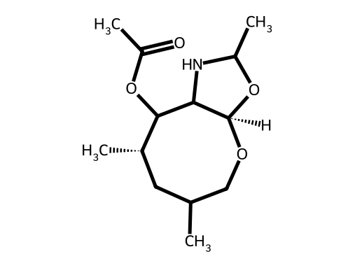 CC(=O)OC1C2NC(C)O[C@H]2OCC(C)C[C@@H]1C